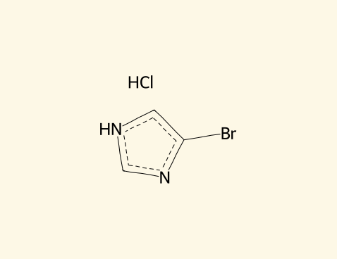 Brc1c[nH]cn1.Cl